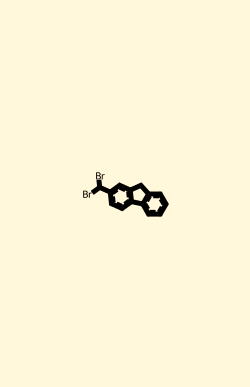 BrC(Br)c1[c]c2c(cc1)-c1ccccc1C2